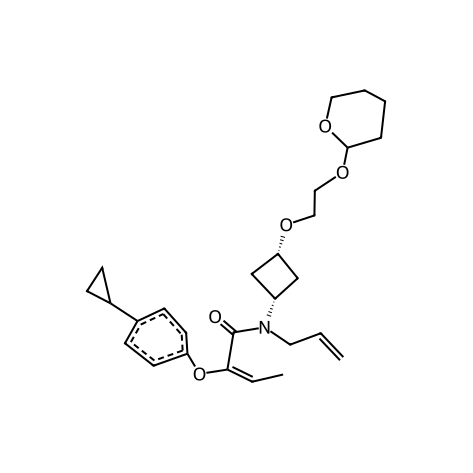 C=CCN(C(=O)C(=CC)Oc1ccc(C2CC2)cc1)[C@H]1C[C@@H](OCCOC2CCCCO2)C1